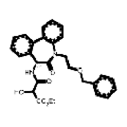 CCOC(=O)C(O)C(=O)N[C@@H]1C(=O)N(CCOCc2ccccc2)c2ccccc2-c2ccccc21